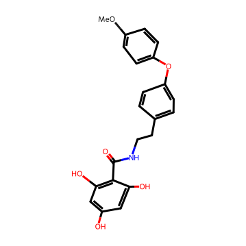 COc1ccc(Oc2ccc(CCNC(=O)c3c(O)cc(O)cc3O)cc2)cc1